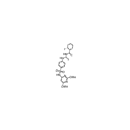 COc1cc(NS(=O)(=O)c2ccc(NC(=S)NC(=O)c3ccccc3I)cc2)nc(OC)n1